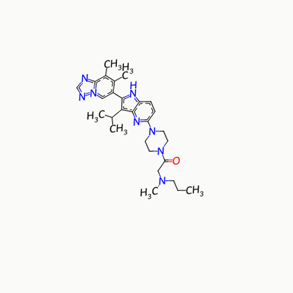 CCCN(C)CC(=O)N1CCN(c2ccc3[nH]c(-c4cn5ncnc5c(C)c4C)c(C(C)C)c3n2)CC1